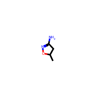 CC1CC(N)=NO1